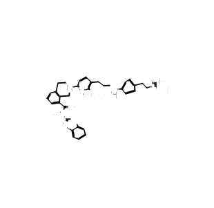 CN(C)CCc1ccc(OCCCc2ccc(N3CCc4cccc(C(=O)Nc5nc6ccccc6s5)c4C3)nc2C(=O)O)cc1